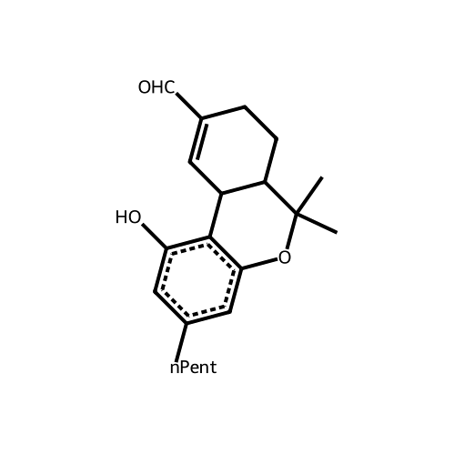 CCCCCc1cc(O)c2c(c1)OC(C)(C)C1CCC(C=O)=CC21